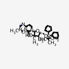 CN(C)/C=N\c1ccn([C@H]2O[C@H](CO[Si](c3ccccc3)(c3ccccc3)C(C)(C)C)C(O)[C@]2(C)O)c(=O)n1